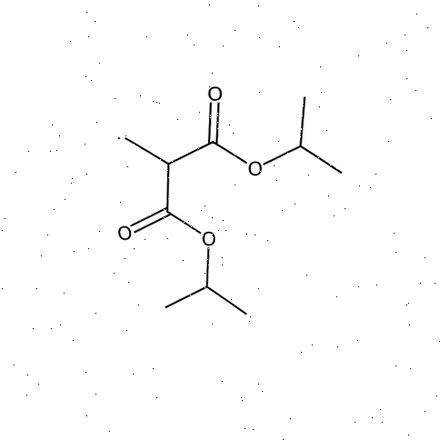 [CH2]C(C(=O)OC(C)C)C(=O)OC(C)C